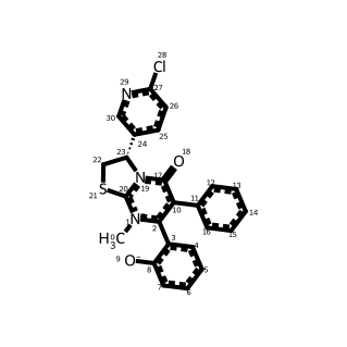 C[n+]1c(-c2ccccc2[O-])c(-c2ccccc2)c(=O)n2c1SC[C@@H]2c1ccc(Cl)nc1